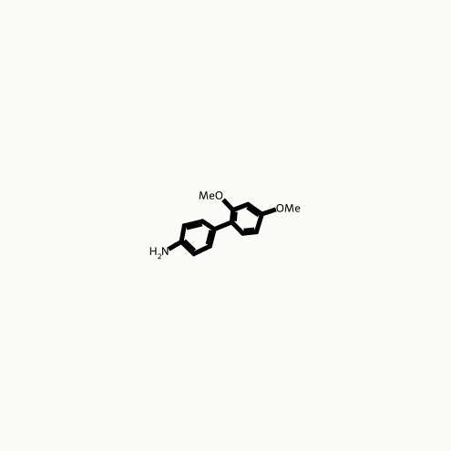 COc1ccc(-c2ccc(N)cc2)c(OC)c1